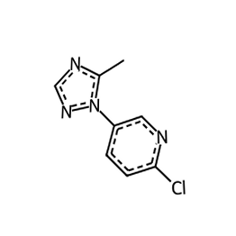 Cc1ncnn1-c1ccc(Cl)nc1